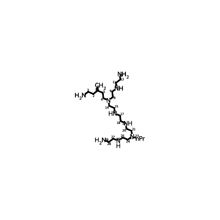 C=C(CCN)CCN(CCNCCN)CCNCCNCCN(CCC)CCNCCN